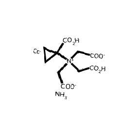 N.O=C([O-])C[N+](CC(=O)[O-])(CC(=O)O)C1(C(=O)O)CC1.[Co]